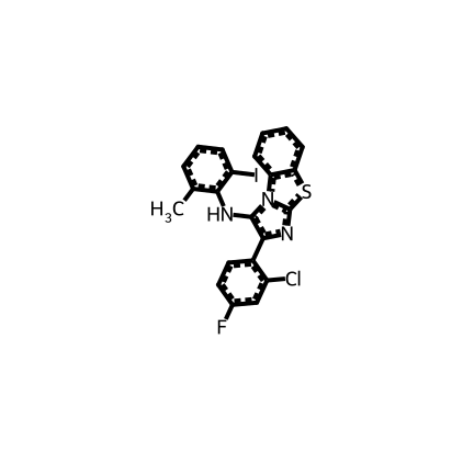 Cc1cccc(I)c1Nc1c(-c2ccc(F)cc2Cl)nc2sc3ccccc3n12